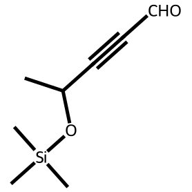 CC(C#CC=O)O[Si](C)(C)C